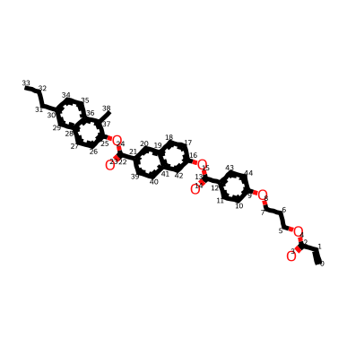 C=CC(=O)OCCCOc1ccc(C(=O)Oc2ccc3cc(C(=O)Oc4ccc5cc(CCC)ccc5c4C)ccc3c2)cc1